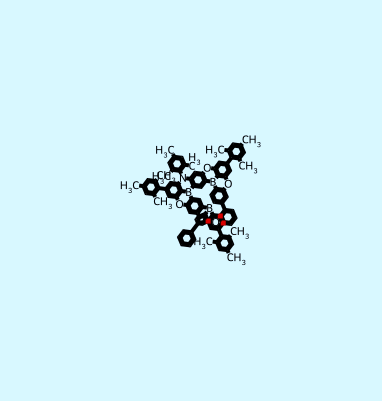 Cc1cc(C)c(-c2cc3c4c(c2)Oc2cc5c(cc2B4c2ccc(-c4ccccc4)cc2O3)B2c3cc4c(cc3N(c3c(C)cc(C)cc3C)c3cc(-c6c(C)cc(C)cc6C)cc(c32)O5)Oc2cc(-c3c(C)cc(C)cc3C)cc3c2B4c2ccc(-c4ccccc4)cc2O3)c(C)c1